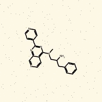 CN(CC(N)Cc1ccccc1)c1nc(-c2ccncc2)nc2cnccc12